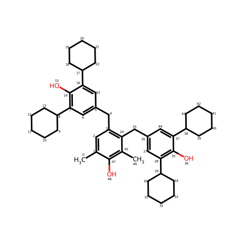 Cc1cc(Cc2cc(C3CCCCC3)c(O)c(C3CCCCC3)c2)c(Cc2cc(C3CCCCC3)c(O)c(C3CCCCC3)c2)c(C)c1O